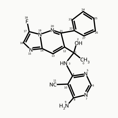 CC(O)(Nc1ncnc(N)c1C#N)c1cc2ncc(F)n2nc1-c1ccccc1